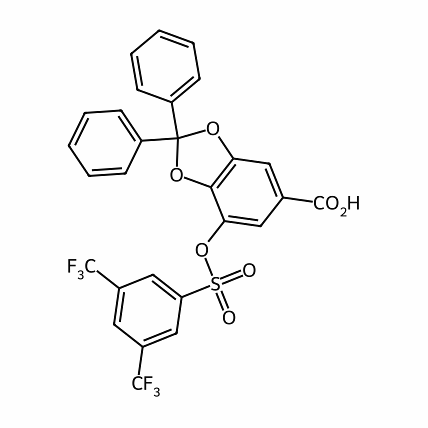 O=C(O)c1cc2c(c(OS(=O)(=O)c3cc(C(F)(F)F)cc(C(F)(F)F)c3)c1)OC(c1ccccc1)(c1ccccc1)O2